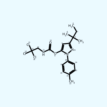 CCC(C)(C)c1cc(OC(=O)NCC(Cl)(Cl)Cl)n(-c2ccc(C)cc2)n1